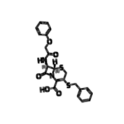 O=C(COc1ccccc1)N[C@@H]1C(=O)N2C(C(=O)O)=C(SCc3ccccc3)CS[C@@H]12